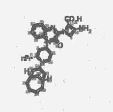 CCC[C@@H]1C[C@H](n2c(=O)c(N3C[C@@H](N)[C@H]3C(=O)O)nc3ccccc32)CCN1[C@@H]1C[C@@H]2CCCC[C@@H](C2)C1